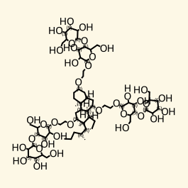 CCC[C@@H](C)[C@H]1CC[C@H]2[C@@H]3[C@H](OCCO[C@@H]4OC(CO)[C@@H](O[C@H]5OC(CO)[C@@H](O)[C@H](O)C5O)[C@H](O)C4O)C[C@@H]4C[C@H](OCCO[C@@H]5OC(CO)[C@@H](O[C@H]6OC(CO)[C@@H](O)[C@H](O)C6O)[C@H](O)C5O)CC[C@]4(C)[C@H]3C[C@H](OCCO[C@@H]3OC(CO)[C@@H](O[C@H]4OC(CO)[C@@H](O)[C@H](O)C4O)[C@H](O)C3O)[C@]12C